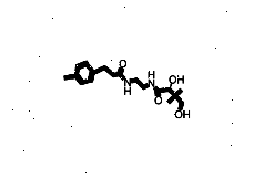 Cc1ccc(CCC(=O)NCCNC(=O)[C@H](O)C(C)(C)CO)cc1